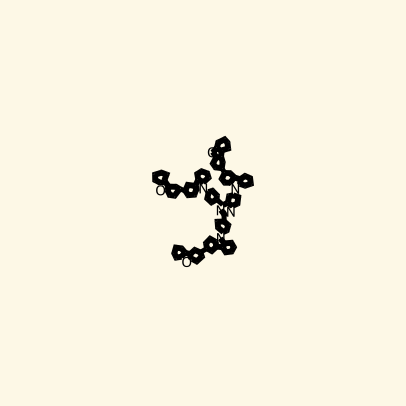 c1ccc2c(c1)oc1ccc(-c3ccc4c(c3)c3ccccc3n4-c3ccc(-c4nc(-c5ccc(-n6c7ccccc7c7cc(-c8ccc9oc%10ccccc%10c9c8)ccc76)cc5)c5cc(-n6c7ccccc7c7cc(-c8ccc9oc%10ccccc%10c9c8)ccc76)ccc5n4)cc3)cc12